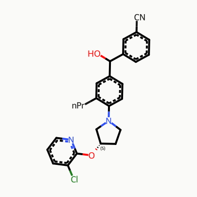 CCCc1cc(C(O)c2cccc(C#N)c2)ccc1N1CC[C@H](Oc2ncccc2Cl)C1